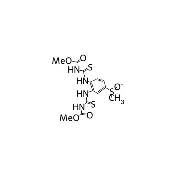 COC(=O)NC(=S)Nc1ccc([S+](C)[O-])cc1NC(=S)NC(=O)OC